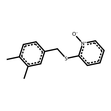 Cc1ccc(CSc2cccc[n+]2[O-])cc1C